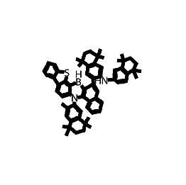 Cc1cc2c(cc1N1c3ccc4c(sc5ccccc54)c3Bc3c(-c4cc5c(cc4Nc4ccc6c(c4)C(C)(C)CCC6(C)C)C(C)(C)CCC5(C)C)cc4ccccc4c31)C(C)(C)CCC2(C)C